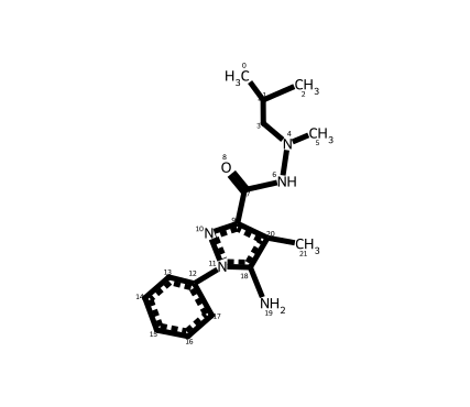 C[C](C)CN(C)NC(=O)c1nn(-c2ccccc2)c(N)c1C